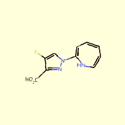 O=C(O)c1nn(C2=CC=CC=CN2)cc1F